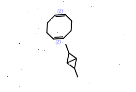 C1=C\CC/C=C\CC/1.CC1C2C(C)C12